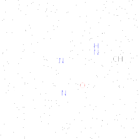 CNc1nc(C2CC2)no1